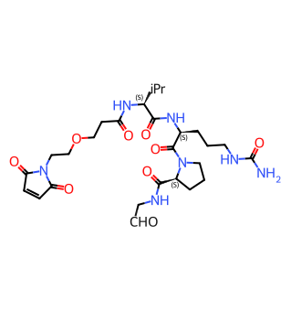 CC(C)[C@H](NC(=O)CCOCCN1C(=O)C=CC1=O)C(=O)N[C@@H](CCCNC(N)=O)C(=O)N1CCC[C@H]1C(=O)NCC=O